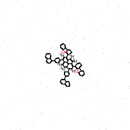 [2H]c1c(-c2ccc(-c3cccc4ccccc34)cc2)c2c([2H])c([2H])c3c(-c4ccc(-c5cccc6ccccc56)cc4)c([2H])c(-c4cccc5c4oc4ccccc45)c4c([2H])c([2H])c(c1-c1cccc5c1oc1ccccc15)c2c34